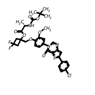 COc1cc(-n2cnc3cc(-c4ccc(Cl)cc4)sc3c2=O)ccc1OCC1(OC(=O)[C@H](C)NC(=O)OC(C)(C)C)CC(F)(F)C1